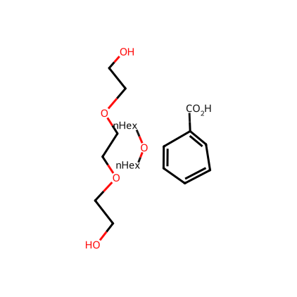 CCCCCCOCCCCCC.O=C(O)c1ccccc1.OCCOCCOCCO